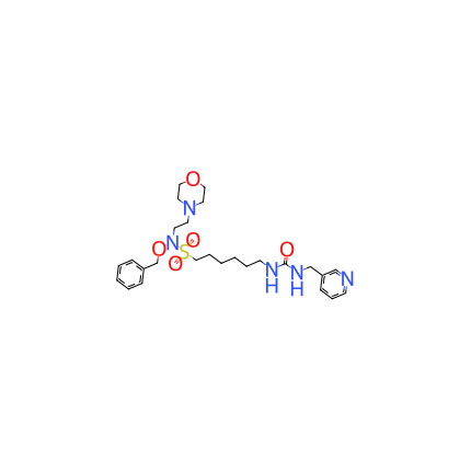 O=C(NCCCCCCS(=O)(=O)N(CCN1CCOCC1)OCc1ccccc1)NCc1cccnc1